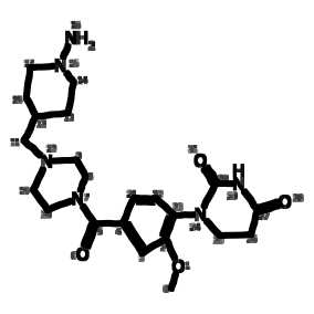 COc1cc(C(=O)N2CCN(CC3CCN(N)CC3)CC2)ccc1N1CCC(=O)NC1=O